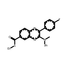 CCSC(=O)c1ccc2nc(-c3ccc(F)cc3)c(N(C)C(C)C)nc2c1